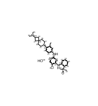 Cc1cc(Nc2ncc(Cl)c(Nc3ccccc3P(C)(C)=O)n2)ccc1N1CCC2(CC1)CC(N(C)C)C2.Cl